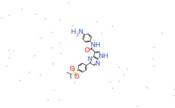 CC(C)S(=O)(=O)c1ccc(-c2cnc3[nH]cc(C(=O)Nc4ccc(N)cc4)c3n2)cc1